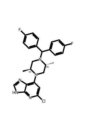 C[C@@H]1CN(c2cc(Cl)nc3[nH]cnc23)[C@@H](C)CN1C(c1ccc(F)cc1)c1ccc(F)cc1